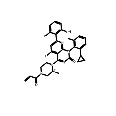 C=CC(=O)N1CCN(c2nc(=O)n(-c3c(C)cccc3C3CC3)c3nc(-c4c(O)cccc4F)cc(F)c23)[C@@H](C)C1